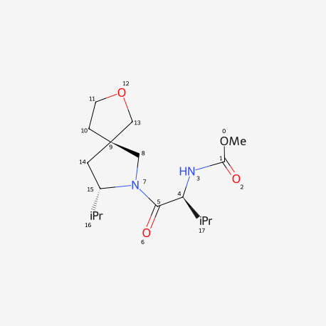 COC(=O)N[C@H](C(=O)N1C[C@]2(CCOC2)C[C@H]1C(C)C)C(C)C